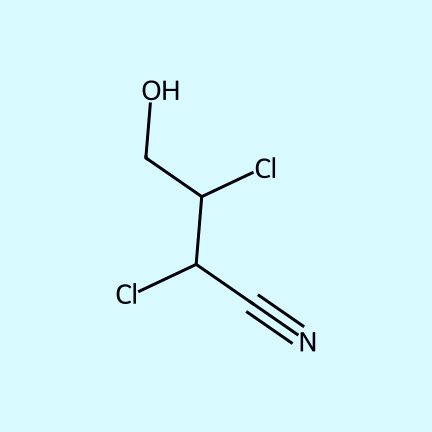 N#CC(Cl)C(Cl)CO